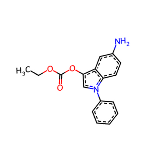 CCOC(=O)Oc1cn(-c2ccccc2)c2ccc(N)cc12